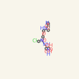 O=C(N[C@@H](c1ccccc1)c1cccc(OCc2ccc(C(=O)N(CCCNC[C@H](O)c3ccc(O)c4[nH]c(=O)ccc34)Cc3cccc(Cl)c3)cc2)c1)O[C@H]1CN2CCC1CC2